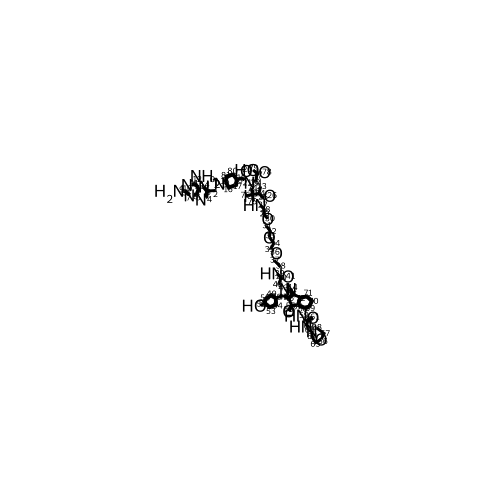 CN(Cc1cnc2nc(N)nc(N)c2n1)c1ccc(C(=O)N[C@@H](CC(C(=O)NCCOCCOCCOCCNC(=O)Cn2nc3c(c2-c2ccc(O)cc2)C(=O)c2c(NC(=O)NN4CCOCC4)cccc2-3)C(C)(C)C)C(=O)O)cc1